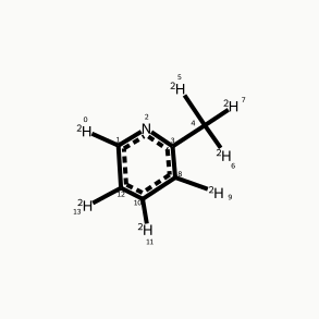 [2H]c1nc(C([2H])([2H])[2H])c([2H])c([2H])c1[2H]